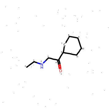 C[CH]NCC(=O)C1CCCCC1